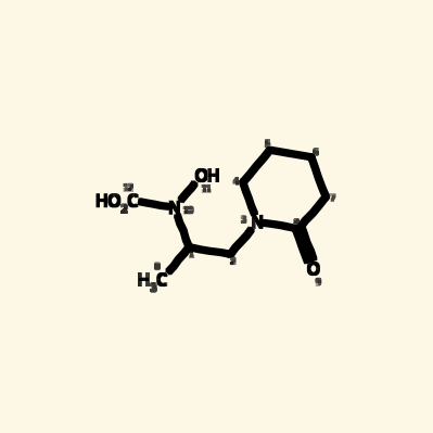 CC(CN1CCCCC1=O)N(O)C(=O)O